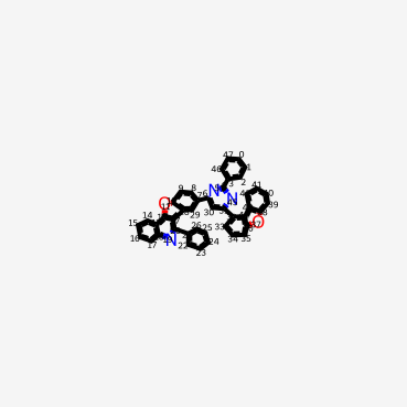 c1ccc(-c2nc(-c3ccc4oc5c6ccccc6nc(-c6ccccc6)c5c4c3)cc(-c3cccc4oc5ccccc5c34)n2)cc1